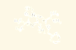 COC1=N[C@H](C(C)C)C(OC)=N[C@H]1C[C@@H](COCc1ccccc1)C(C)C